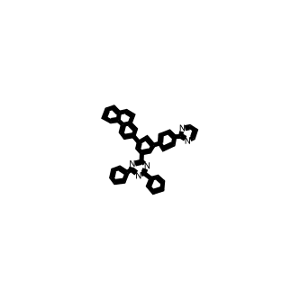 c1ccc(-c2nc(-c3ccccc3)nc(-c3cc(-c4ccc(-c5ncccn5)cc4)cc(-c4ccc5c(ccc6ccccc65)c4)c3)n2)cc1